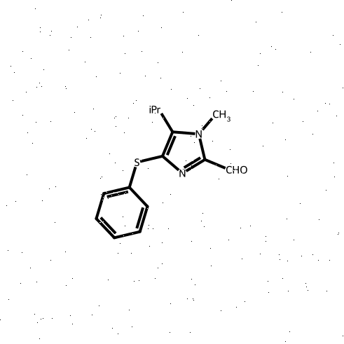 CC(C)c1c(Sc2ccccc2)nc(C=O)n1C